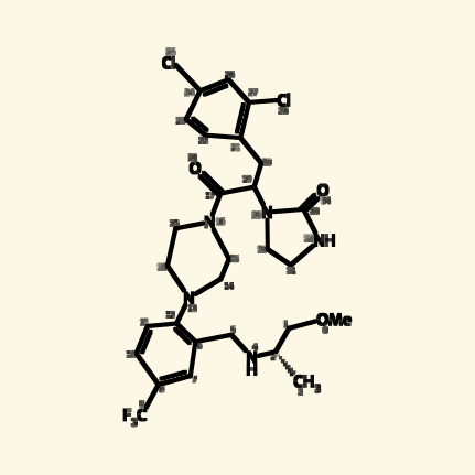 COC[C@H](C)NCc1cc(C(F)(F)F)ccc1N1CCN(C(=O)C(Cc2ccc(Cl)cc2Cl)N2CCNC2=O)CC1